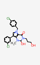 CN1c2c(-c3cccc(Cl)c3)cn(Cc3ccc(Cl)cc3)c2C(=O)N(CCCO)C1O